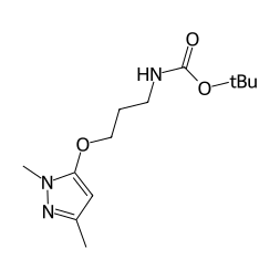 Cc1cc(OCCCNC(=O)OC(C)(C)C)n(C)n1